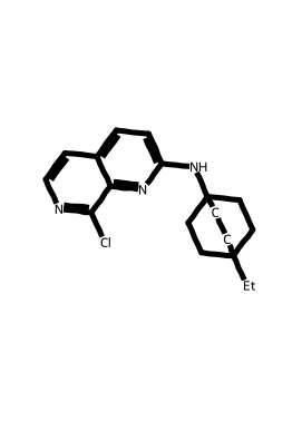 CCC12CCC(Nc3ccc4ccnc(Cl)c4n3)(CC1)CC2